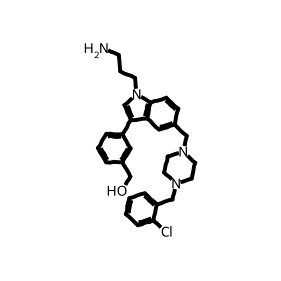 NCCCn1cc(-c2cccc(CO)c2)c2cc(CN3CCN(Cc4ccccc4Cl)CC3)ccc21